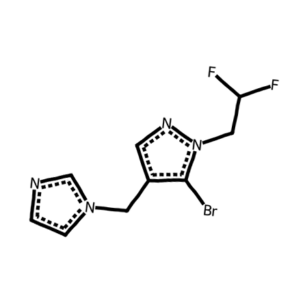 FC(F)Cn1ncc(Cn2ccnc2)c1Br